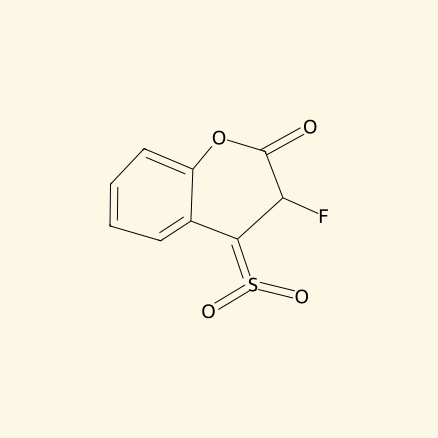 O=C1Oc2ccccc2C(=S(=O)=O)C1F